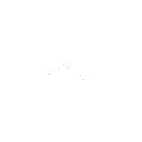 COC(=O)c1ccc(CN2CCC(c3nc(C4(CN[C@@H]5CC5c5ccccc5)CC4)no3)CC2)cc1